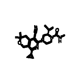 CNC(=O)N1CCN(c2nc(C3CC3)c3c(c2C#N)CC(C)(C)OC3)C[C@H]1C(C)C